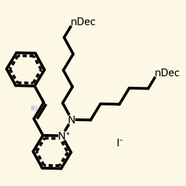 CCCCCCCCCCCCCCCN(CCCCCCCCCCCCCCC)[n+]1ccccc1/C=C/c1ccccc1.[I-]